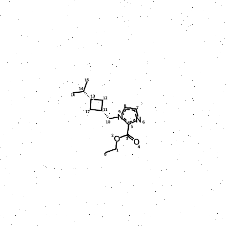 CCOC(=O)c1nccn1C[C@H]1C[C@@H](C(C)C)C1